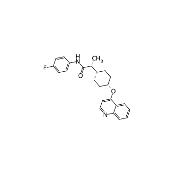 C[C@@H](C(=O)Nc1ccc(F)cc1)[C@H]1CC[C@@H](Oc2ccnc3ccccc23)CC1